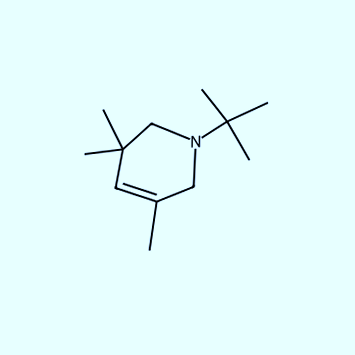 CC1=CC(C)(C)CN(C(C)(C)C)C1